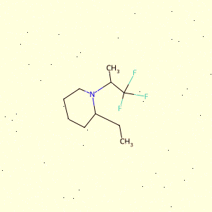 CCC1CCCCN1C(C)C(F)(F)F